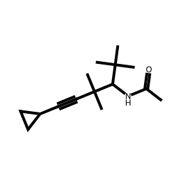 CC(=O)NC(C(C)(C)C)C(C)(C)C#CC1CC1